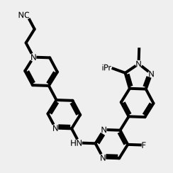 CC(C)c1c2cc(-c3nc(Nc4ccc(C5=CCN(CCC#N)C=C5)cn4)ncc3F)ccc2nn1C